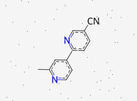 Cc1cc(-c2ccc(C#N)cn2)ccn1